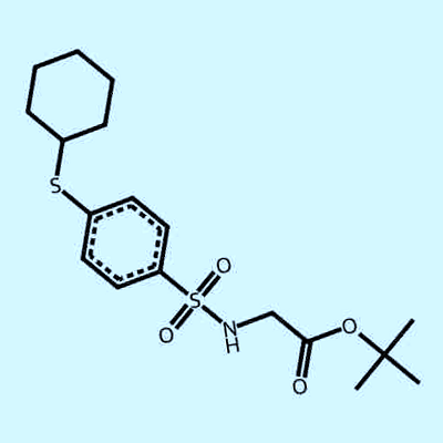 CC(C)(C)OC(=O)CNS(=O)(=O)c1ccc(SC2CCCCC2)cc1